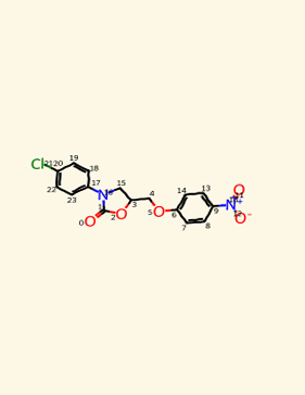 O=C1OC(COc2ccc([N+](=O)[O-])cc2)CN1c1ccc(Cl)cc1